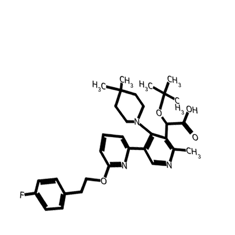 Cc1ncc(-c2cccc(OCCc3ccc(F)cc3)n2)c(N2CCC(C)(C)CC2)c1C(OC(C)(C)C)C(=O)O